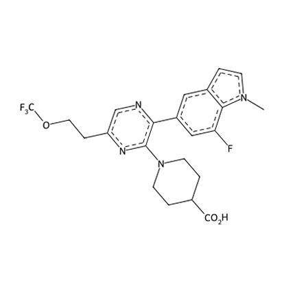 Cn1ccc2cc(-c3ncc(CCOC(F)(F)F)nc3N3CCC(C(=O)O)CC3)cc(F)c21